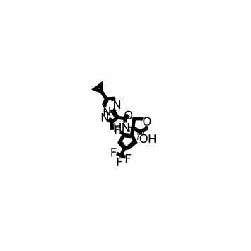 Cc1nn2cc(C3CC3)cnc2c1C(=O)N[C@]1(c2ccc(C(F)(F)F)cc2F)CCOC[C@@]1(C)O